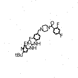 CCn1nc(C(C)(C)C)cc1NC(=O)Nc1ccc(CN2CCN(C(=O)c3ccc(F)cc3F)CC2)cc1F